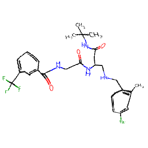 Cc1cc(Br)ccc1CNCC(NC(=O)CNC(=O)c1cccc(C(F)(F)F)c1)C(=O)NC(C)(C)C